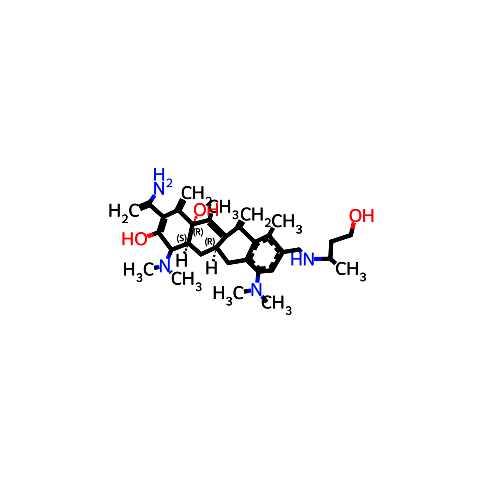 C=C(N)C1=C(O)C(N(C)C)[C@@H]2C[C@@H]3Cc4c(N(C)C)cc(CNC(C)CCO)c(C)c4C(=C)C3=C(C)[C@]2(O)C1=C